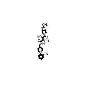 CC1=NC2CN(C(=O)[C@H](O)[C@@H](O)C(=O)NCC3CCN(c4ccc(F)cc4C#N)CC3)CC2S1